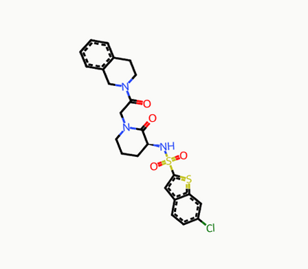 O=C(CN1CCC[C@H](NS(=O)(=O)c2cc3ccc(Cl)cc3s2)C1=O)N1CCc2ccccc2C1